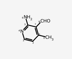 Cc1ccnc(N)c1C=O